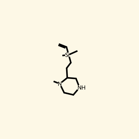 C=C[Si](C)(C)CCC1CNCCN1C